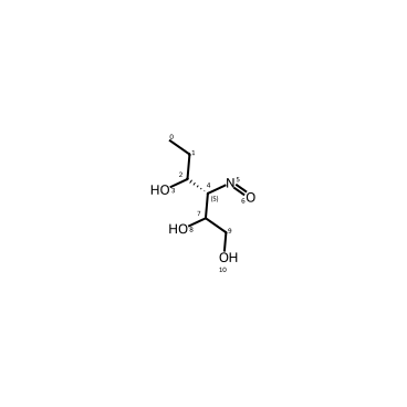 CCC(O)[C@H](N=O)C(O)CO